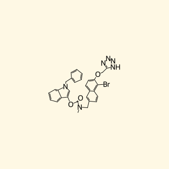 CN(Cc1ccc2c(Br)c(OCc3nnn[nH]3)ccc2c1)C(=O)Oc1cn(Cc2ccccc2)c2ccccc12